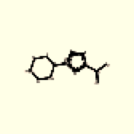 CC(C)c1ccn(C2CCOCC2)c1